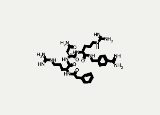 N=C(N)NCCCC(NC(=O)Cc1ccccc1)C(=O)N[C@@H](CC(N)=O)C(=O)NC(CCCNC(=N)N)C(=O)NCc1ccc(C(=N)N)cc1